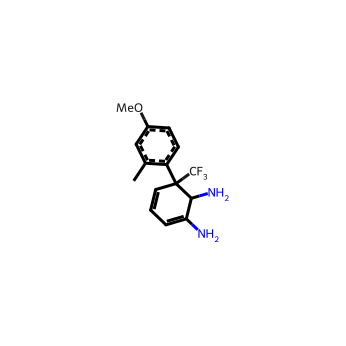 COc1ccc(C2(C(F)(F)F)C=CC=C(N)C2N)c(C)c1